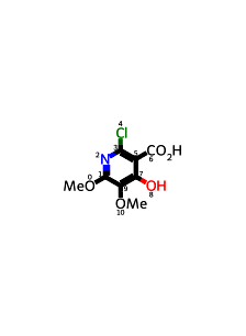 COc1nc(Cl)c(C(=O)O)c(O)c1OC